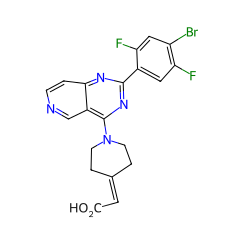 O=C(O)C=C1CCN(c2nc(-c3cc(F)c(Br)cc3F)nc3ccncc23)CC1